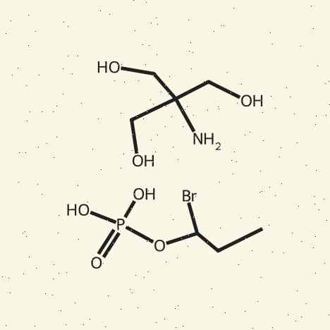 CCC(Br)OP(=O)(O)O.NC(CO)(CO)CO